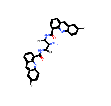 CCc1ccc2nc3c(C(=O)NC(CC)C(N)C(CC)NC(=O)c4cccc5cc6cc(CC)ccc6nc45)cccc3cc2c1